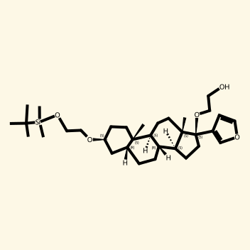 CC(C)(C)[Si](C)(C)OCCO[C@H]1CC[C@@]2(C)[C@H](CC[C@@H]3[C@@H]2CC[C@@]2(C)[C@H]3CC[C@@]2(OCCO)c2ccoc2)C1